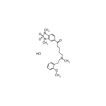 COc1ccccc1CCN(C)CCCCC(=O)c1ccc2c(c1)N(C)S(=O)(=O)N2C.Cl